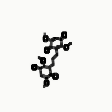 COC1=CC(=O)C(OC)=C(CCCC2=C(OC)C(=O)C=C(OC)C2=O)C1=O